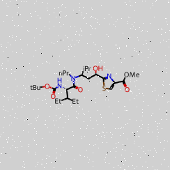 CCCN(C(=O)[C@@H](NC(=O)OC(C)(C)C)C(CC)CC)[C@H](C[C@@H](O)c1nc(C(=O)OC)cs1)C(C)C